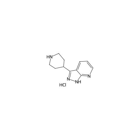 Cl.c1cnc2[nH]nc(C3CCNCC3)c2c1